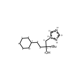 CC(C)(C)C(O)(CCC1CCCCC1)Cn1cncn1